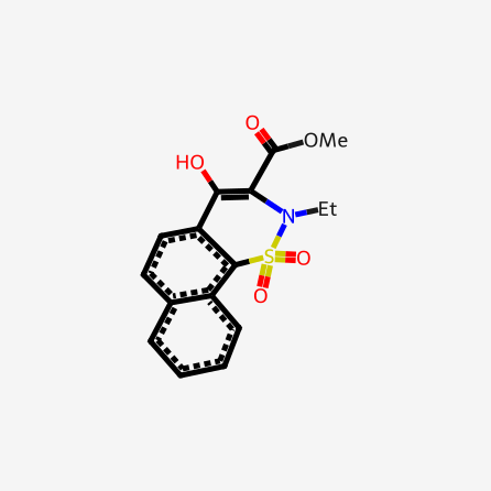 CCN1C(C(=O)OC)=C(O)c2ccc3ccccc3c2S1(=O)=O